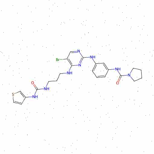 O=C(NCCCNc1nc(Nc2cccc(NC(=O)N3CCCC3)c2)ncc1Br)Nc1ccsc1